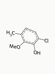 COc1c(C)ccc(Cl)c1O